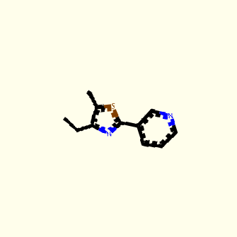 CCc1nc(-c2cccnc2)sc1C